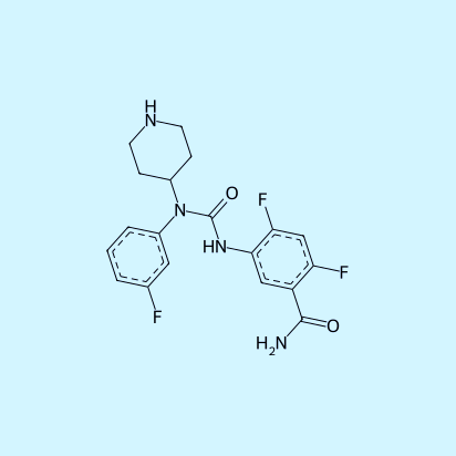 NC(=O)c1cc(NC(=O)N(c2cccc(F)c2)C2CCNCC2)c(F)cc1F